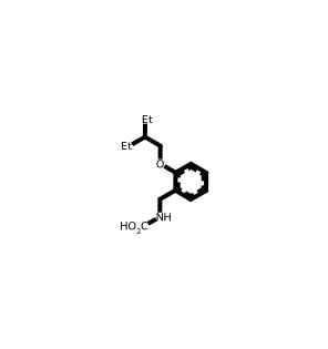 CCC(CC)COc1ccccc1CNC(=O)O